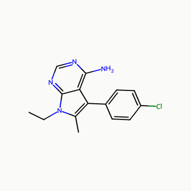 CCn1c(C)c(-c2ccc(Cl)cc2)c2c(N)ncnc21